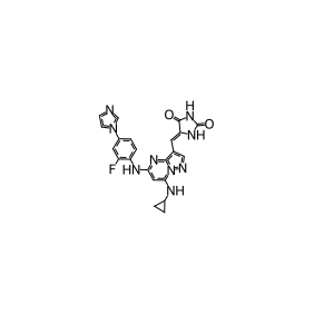 O=C1NC(=O)/C(=C/c2cnn3c(NC4CC4)cc(Nc4ccc(-n5ccnc5)cc4F)nc23)N1